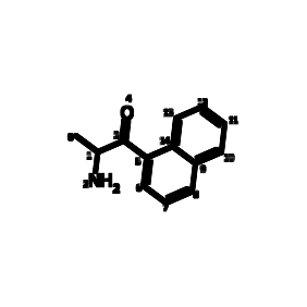 CC(N)C(=O)c1cccc2ccccc12